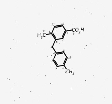 Cc1ccc(Cc2cc(C(=O)O)ccc2C)cc1